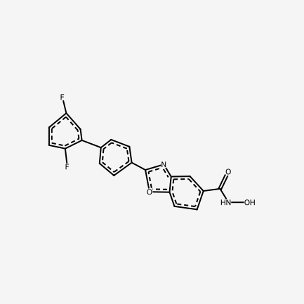 O=C(NO)c1ccc2oc(-c3ccc(-c4cc(F)ccc4F)cc3)nc2c1